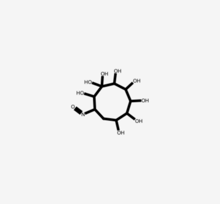 O=NC1CC(O)C(O)C(O)C(O)C(O)C(O)(O)C1O